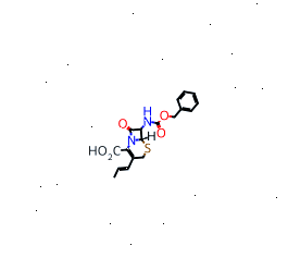 CC=CC1=C(C(=O)O)N2C(=O)C(NC(=O)OCc3ccccc3)[C@@H]2SC1